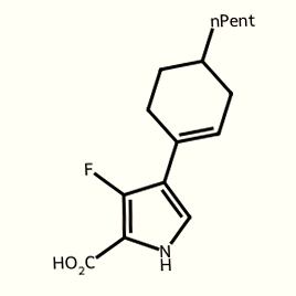 CCCCCC1CC=C(c2c[nH]c(C(=O)O)c2F)CC1